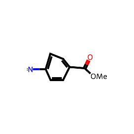 COC(=O)c1ccc([N])cc1